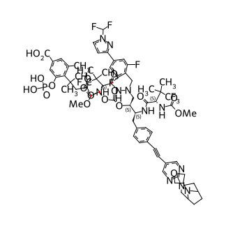 COC(=O)N[C@H](C(=O)N[C@@H](Cc1ccc(C#Cc2cnc(N3CC4CCC(C3)N4C3COC3)nc2)cc1)[C@H](CN(Cc1c(F)cc(-c2ccn(C(F)F)n2)cc1F)NC(=O)[C@@H](NC(=O)OC)C(C)(C)C(F)(F)F)OC(=O)OCOC(=O)CC(C)(C)c1c(C)cc(C(=O)O)cc1OP(=O)(O)O)C(C)(C)C(F)(F)F